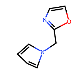 [CH](c1ncco1)n1cccc1